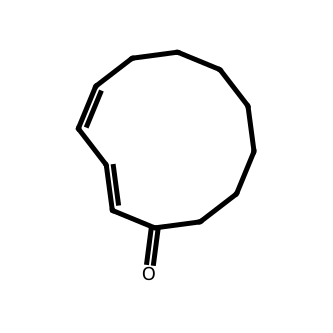 O=C1/C=C/C=C\CCCCCCC1